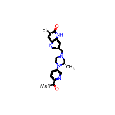 CCc1cc2ncc(CN3CCN(c4ccc(C(=O)NC)nc4)[C@@H](C)C3)cc2[nH]c1=O